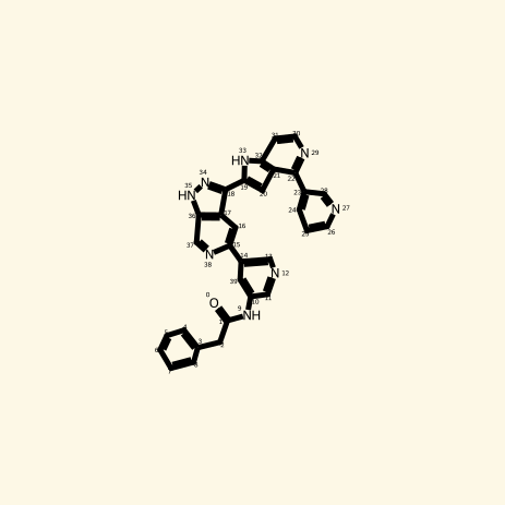 O=C(Cc1ccccc1)Nc1cncc(-c2cc3c(-c4cc5c(-c6cccnc6)nccc5[nH]4)n[nH]c3cn2)c1